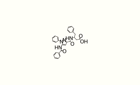 O=C(O)CC(Cc1ccccc1)NC(=O)c1cc(NC(=O)c2ccccc2)n(-c2ccccc2)n1